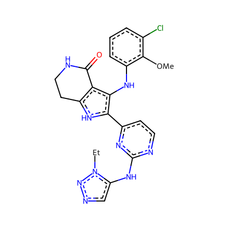 CCn1nncc1Nc1nccc(-c2[nH]c3c(c2Nc2cccc(Cl)c2OC)C(=O)NCC3)n1